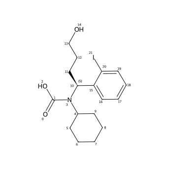 O=C(O)N(C1CCCCC1)[C@@H](CCCO)c1ccccc1I